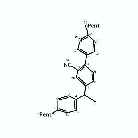 CCCCCc1ccc(C(C)c2ccc(-c3cnc(CCCCC)nc3)c(C#N)c2)cc1